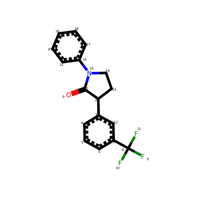 O=C1C(c2cccc(C(F)(F)F)c2)CCN1c1ccccc1